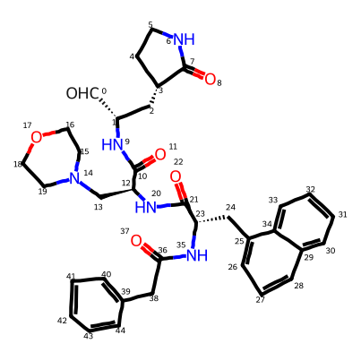 O=C[C@H](C[C@@H]1CCNC1=O)NC(=O)[C@H](CN1CCOCC1)NC(=O)[C@H](Cc1cccc2ccccc12)NC(=O)Cc1ccccc1